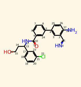 N=Cc1cc(-c2cccc(C(=O)NC(CCO)c3cccc(Cl)c3)c2)ccc1N